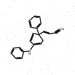 C#CC=CC1(c2ccccc2)C=CC(Nc2ccccc2)=CC1